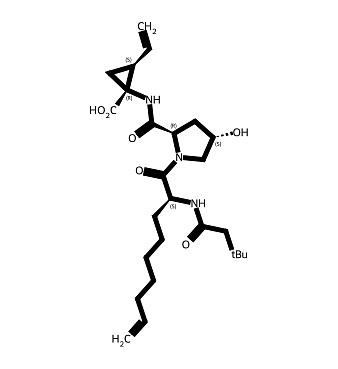 C=CCCCCC[C@H](NC(=O)CC(C)(C)C)C(=O)N1C[C@@H](O)C[C@@H]1C(=O)N[C@]1(C(=O)O)C[C@H]1C=C